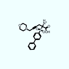 NC(CC#CCN1CCOCC1)(C(=O)O)S(=O)(=O)c1ccc(-c2ccccc2)cc1